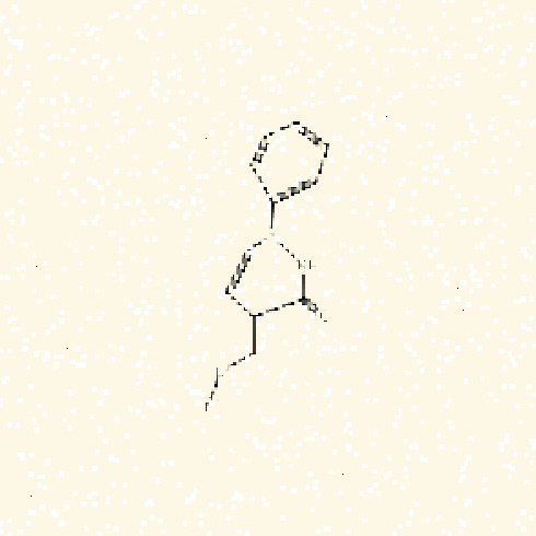 CCOCC1C=CN(c2ccccc2)NC1=O